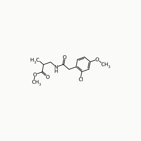 COC(=O)C(C)CNC(=O)Cc1ccc(OC)cc1Cl